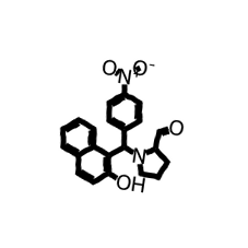 O=CC1CCCN1C(c1ccc([N+](=O)[O-])cc1)c1c(O)ccc2ccccc12